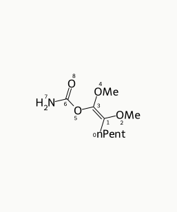 CCCCC/C(OC)=C(/OC)OC(N)=O